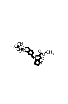 CCOC(=O)c1cn(Cc2ccc3c(c2)CN(C(=O)OC(C)(C)C)CC3)c2cccc(F)c2c1=O